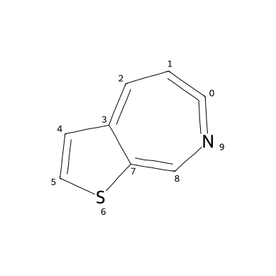 C1=CC=c2ccsc2=CN=1